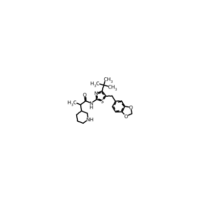 CC(C(=O)Nc1nc(C(C)(C)C)c(Cc2ccc3c(c2)OCO3)s1)C1CCCNC1